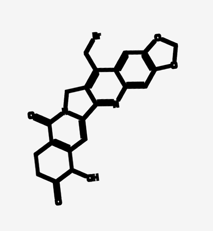 O=C1CCc2c(cc3n(c2=O)Cc2c-3nc3cc4c(cc3c2CBr)OCO4)C1O